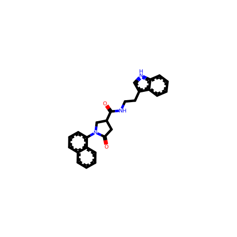 O=C(NCCc1c[nH]c2ccccc12)C1CC(=O)N(c2cccc3ccccc23)C1